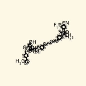 Cc1ncsc1-c1ccc(CNC(=O)[C@@H]2C[C@@H](O)CN2C(=O)[C@@H](NC(=O)Cc2cccc(OCCCOCCOc3ccc(N4C(=S)N(c5ccc(C#N)c(C(F)(F)F)c5)C(=O)C4(C)C)cc3)c2)C(C)(C)C)cc1